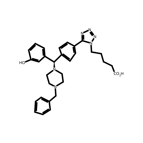 O=C(O)CCCCn1nnnc1-c1ccc([C@H](c2cccc(O)c2)N2CCN(Cc3ccccc3)CC2)cc1